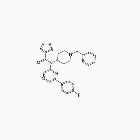 O=C(c1cccs1)N(c1cncc(-c2ccc(F)cc2)n1)C1CCN(Cc2ccccc2)CC1